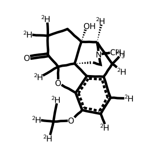 [2H]c1c([2H])c2c3c(c1OC([2H])([2H])[2H])OC1([2H])C(=O)C([2H])([2H])C[C@]4(O)[C@@]31CCN(C)[C@]4([2H])C2([2H])[2H]